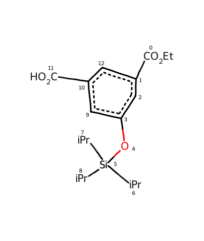 CCOC(=O)c1cc(O[Si](C(C)C)(C(C)C)C(C)C)cc(C(=O)O)c1